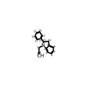 C#CCN1c2ccccc2CC1c1ccccc1